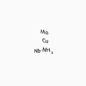 N.[Cu].[Mo].[Nb]